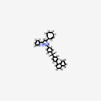 CC(C)(c1ccc(C2=NC(C3C#CC/C=C\C=C/3)=CC(c3ccccc3)N2)cc1)c1ccc(-c2cccc3ccccc23)cc1